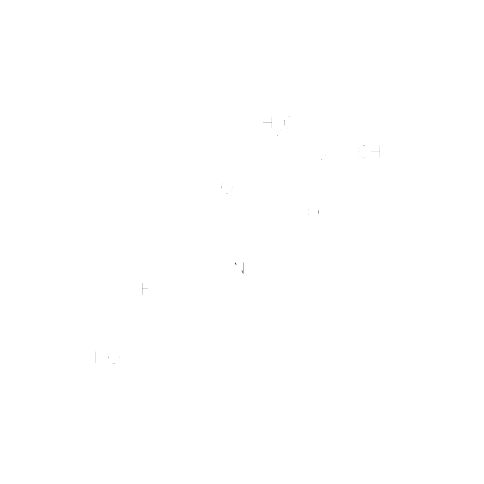 C=C(C)OC(=O)N1CCC[C@@](F)(CO)C1